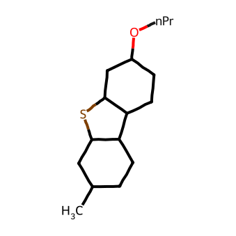 CCCOC1CCC2C(C1)SC1CC(C)CCC12